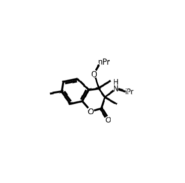 CCCOC1(C)c2ccc(C)cc2OC(=O)C1(C)NC(C)C